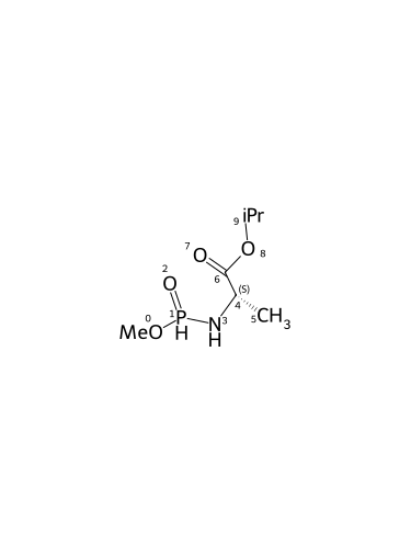 CO[PH](=O)N[C@@H](C)C(=O)OC(C)C